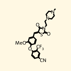 COc1cc(/C=C2\SC(=O)N(CCN3CCN(C)CC3)C2=O)ccc1Oc1ccc(C#N)cc1C(F)(F)F